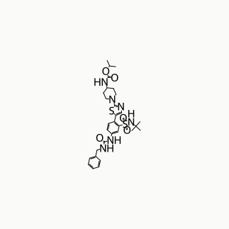 CC(C)OC(=O)NC1CCN(c2ncc(-c3ccc(NC(=O)NCc4ccccc4)cc3S(=O)(=O)NC(C)(C)C)s2)CC1